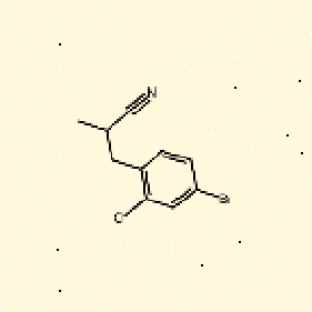 CC(C#N)Cc1ccc(Br)cc1Cl